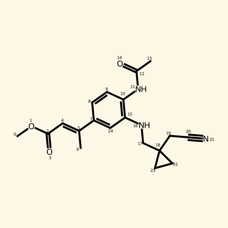 COC(=O)/C=C(\C)c1ccc(NC(C)=O)c(NCC2(CC#N)CC2)c1